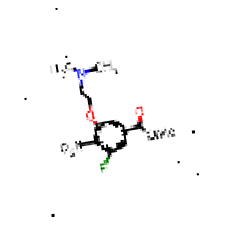 COC(=O)c1cc(F)c([N+](=O)[O-])c(OCCN(C)C)c1